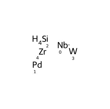 [Nb].[Pd].[SiH4].[W].[Zr]